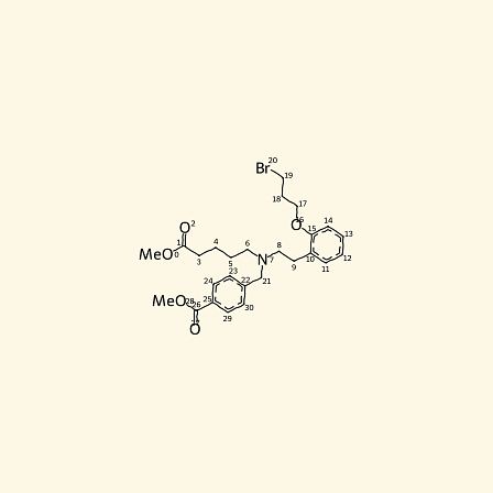 COC(=O)CCCCN(CCc1ccccc1OCCCBr)Cc1ccc(C(=O)OC)cc1